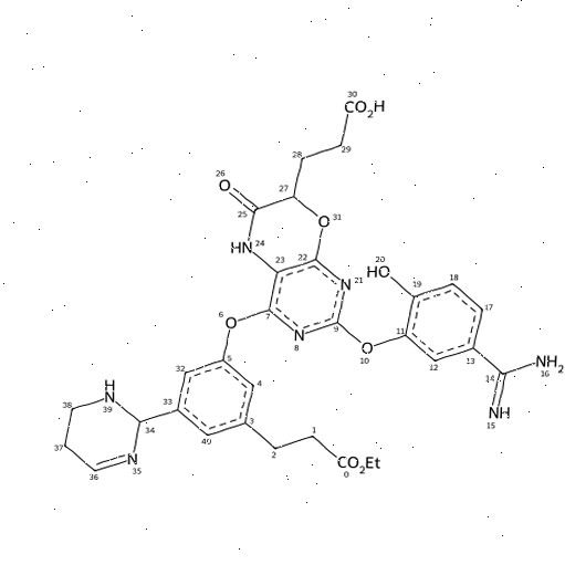 CCOC(=O)CCc1cc(Oc2nc(Oc3cc(C(=N)N)ccc3O)nc3c2NC(=O)C(CCC(=O)O)O3)cc(C2N=CCCN2)c1